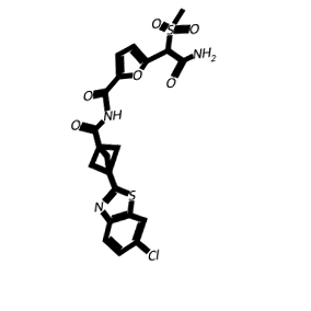 CS(=O)(=O)C(C(N)=O)c1ccc(C(=O)NC(=O)C23CC(c4nc5ccc(Cl)cc5s4)(C2)C3)o1